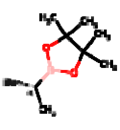 CCC(C)[C@@H](C)B1OC(C)(C)C(C)(C)O1